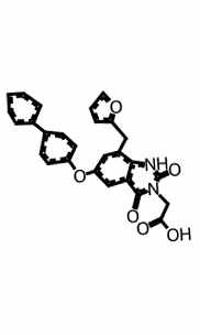 O=C(O)Cn1c(=O)[nH]c2c(Cc3ccco3)cc(Oc3ccc(-c4ccccc4)cc3)cc2c1=O